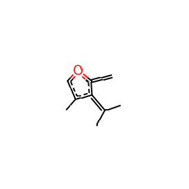 C=c1occ(C)c1=C(C)C